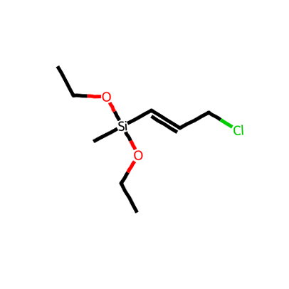 CCO[Si](C)(/C=C/CCl)OCC